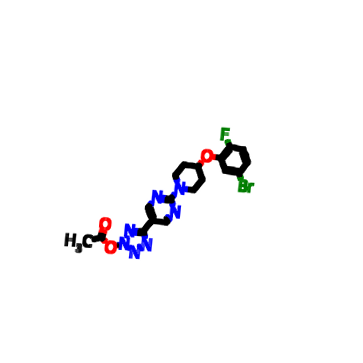 CC(=O)On1nnc(-c2cnc(N3CCC(Oc4cc(Br)ccc4F)CC3)nc2)n1